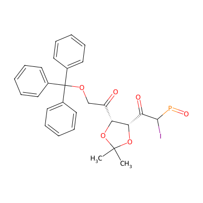 CC1(C)O[C@H](C(=O)COC(c2ccccc2)(c2ccccc2)c2ccccc2)[C@H](C(=O)C(I)P=O)O1